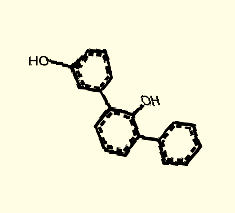 Oc1cccc(-c2cccc(-c3ccccc3)c2O)c1